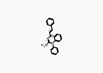 N/C(=N/C(=O)/C=C/c1ccccc1)N(c1ccccc1)c1ccccc1